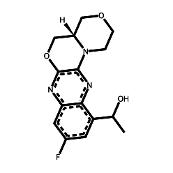 CC(O)c1cc(F)cc2nc3c(nc12)N1CCOC[C@H]1CO3